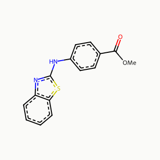 COC(=O)c1ccc(Nc2nc3ccccc3s2)cc1